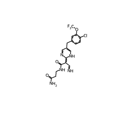 N=C/C(C(=O)NCCC(N)=O)=C1/N=CC(Cc2ccc(Cl)c(OC(F)(F)F)c2)=CN1